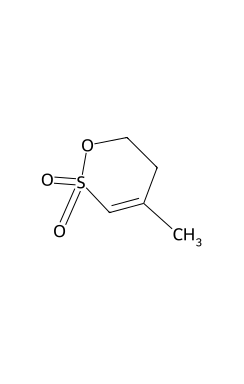 CC1=CS(=O)(=O)OCC1